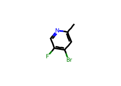 Cc1cc(Br)c(F)cn1